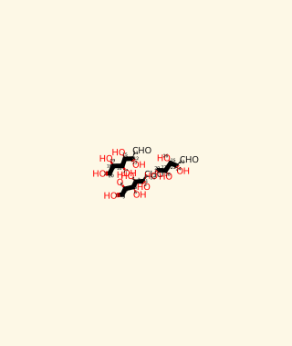 O=C[C@@H](O)[C@@H](O)[C@H](O)[C@H](O)CO.O=C[C@H](O)[C@@H](O)[C@@H](O)[C@H](O)CO.O=C[C@H](O)[C@@H](O)[C@H](O)CO